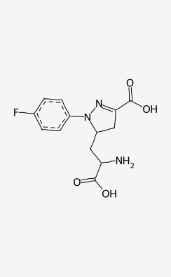 NC(CC1CC(C(=O)O)=NN1c1ccc(F)cc1)C(=O)O